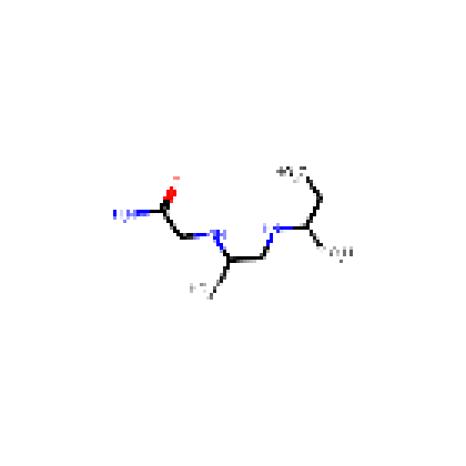 NC(=O)CNC(CN[C@@H](CC(=O)O)C(=O)O)C(=O)O